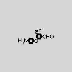 CC(C)Oc1cc(C=O)cc(Oc2ccc(N)cc2)c1